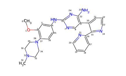 COc1cc(Nc2ncc(-c3cccnc3-c3ccccn3)c(N)n2)ccc1N1CCN(C)CC1